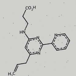 C=CCc1cc(NCCC(=O)O)nc(-c2ccccn2)n1